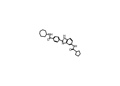 O=C(NC1CCCCCC1)c1ccc(-c2nc3cc(NC(=O)C4CCCC4)ccc3[nH]2)cc1